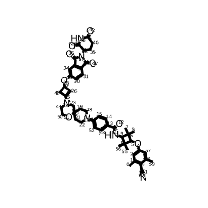 Cc1cc(OC2C(C)(C)C(NC(=O)c3ccc(N4CCC5(CC4)CN(C4CC(Oc6ccc7c(c6)C(=O)N([C@@H]6CCC(=O)NC6=O)C7=O)C4)CCO5)cc3)C2(C)C)cc(C)c1C#N